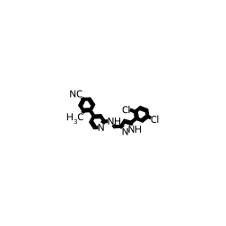 Cc1cc(C#N)ccc1-c1ccnc(NCc2cc(-c3cc(Cl)ccc3Cl)[nH]n2)c1